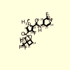 Cn1cc(S(=O)(=O)NC2(C(F)(F)F)CCC2)c(F)c1C(=O)Nc1ccnc(F)c1